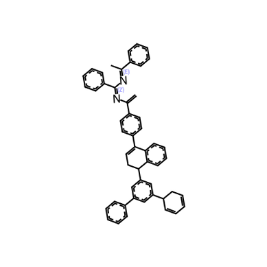 C=C(/N=C(\N=C(/C)c1ccccc1)c1ccccc1)c1ccc(C2=CCC(c3cc(-c4ccccc4)cc(C4C=CC=CC4)c3)c3ccccc32)cc1